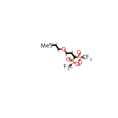 CSCCOCCC(S(=O)(=O)C(F)(F)F)S(=O)(=O)C(F)(F)F